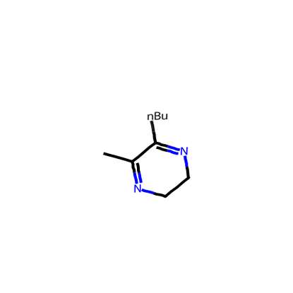 CCCCC1=NCCN=C1C